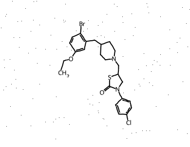 CCOc1ccc(Br)c(CC2CCN(CC3CN(c4ccc(Cl)cc4)C(=O)S3)CC2)c1